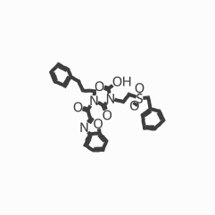 O=C(O)N(CCS(=O)(=O)Cc1ccccc1)C(=O)N(CCCc1ccccc1)C(=O)c1nc2ccccc2o1